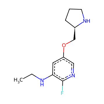 CCNc1cc(OC[C@H]2CCCN2)cnc1F